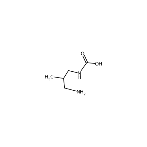 CC(CN)CNC(=O)O